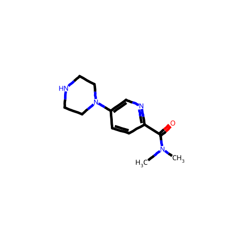 CN(C)C(=O)c1ccc(N2CCNCC2)cn1